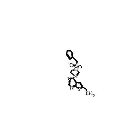 CCc1cc2c(N3CCN(S(=O)(=O)Cc4ccccc4)CC3)ncnc2s1